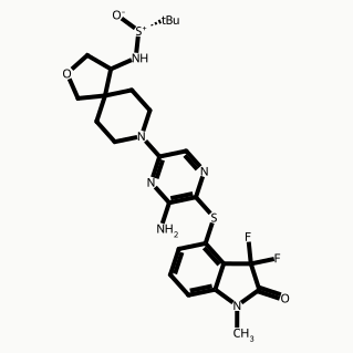 CN1C(=O)C(F)(F)c2c(Sc3ncc(N4CCC5(CC4)COCC5N[S@+]([O-])C(C)(C)C)nc3N)cccc21